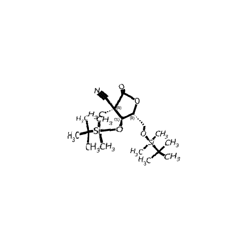 CC(C)(C)[Si](C)(C)OC[C@H]1OC(=O)[C@](C)(C#N)[C@@H]1O[Si](C)(C)C(C)(C)C